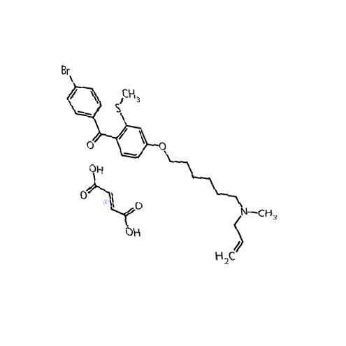 C=CCN(C)CCCCCCOc1ccc(C(=O)c2ccc(Br)cc2)c(SC)c1.O=C(O)/C=C/C(=O)O